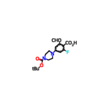 CC(C)(C)OC(=O)N1CCN(c2cc(F)c(C(=O)O)c(C=O)c2)CC1